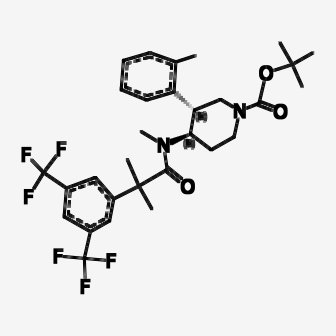 Cc1ccccc1[C@@H]1CN(C(=O)OC(C)(C)C)CC[C@H]1N(C)C(=O)C(C)(C)c1cc(C(F)(F)F)cc(C(F)(F)F)c1